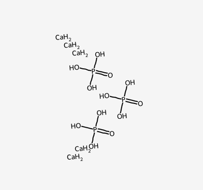 O=P(O)(O)O.O=P(O)(O)O.O=P(O)(O)O.[CaH2].[CaH2].[CaH2].[CaH2].[CaH2]